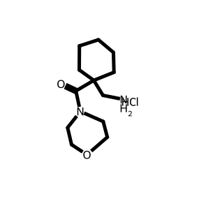 Cl.NCC1(C(=O)N2CCOCC2)CCCCC1